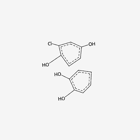 Oc1ccc(O)c(Cl)c1.Oc1ccccc1O